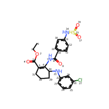 CCOC(=O)C1=C(NC(=O)c2ccc(N[SH](=O)=O)cc2)C(Nc2cccc(Cl)c2)CCC1